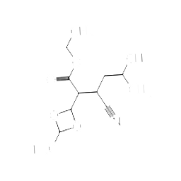 CCOC(=O)C(C(C#N)CC(C)C)C1OC(C)O1